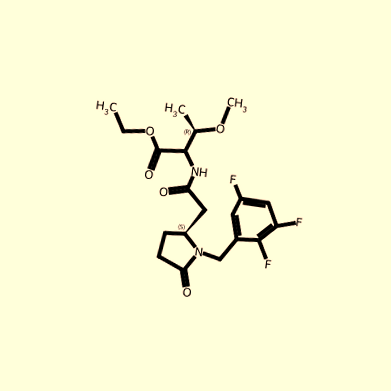 CCOC(=O)C(NC(=O)C[C@@H]1CCC(=O)N1Cc1cc(F)cc(F)c1F)[C@@H](C)OC